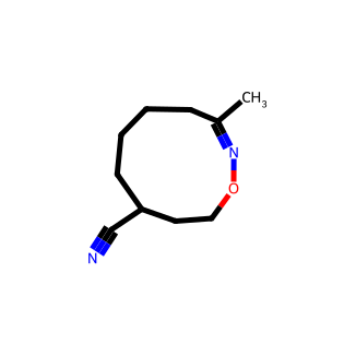 C/C1=N/OCCC(C#N)CCCC1